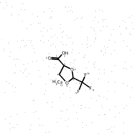 O=C(O)C1COC(C(F)(F)F)O1.[CaH2]